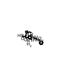 Nc1c(I)c(NCCNC(=O)c2ccccn2)c2c3c1c(=O)c(C(=O)O)cn3C1(CCC1)CCO2